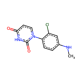 CNc1ccc(-n2ccc(=O)[nH]c2=O)c(Cl)c1